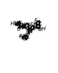 CCc1c(F)ccc2cc(O)cc(N3CCc4c(nc(OC[C@@]56CCCN5C[C@H](F)C6)nc4N4CCCn5nc(C(=O)N6CCC7CC6CN7)cc5C4)C3)c12